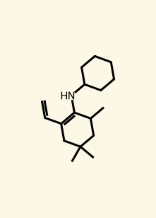 C=CC1=C(NC2CCCCC2)C(C)CC(C)(C)C1